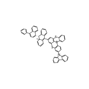 CC12C=CC=CC1=C(c1cc3c4c(c1)Sc1cc(-n5c6ccccc6c6ccccc65)ccc1B4c1ccccc1S3)c1ccccc1[C@H]2c1ccc(-c2ccccc2)c2ccccc12